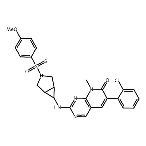 COc1ccc(S(=O)(=S)N2CC3C(C2)C3Nc2ncc3cc(-c4ccccc4Cl)c(=O)n(C)c3n2)cc1